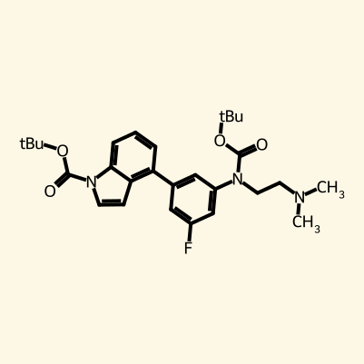 CN(C)CCN(C(=O)OC(C)(C)C)c1cc(F)cc(-c2cccc3c2ccn3C(=O)OC(C)(C)C)c1